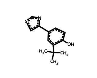 CC(C)(C)c1cc(-c2cscn2)ccc1O